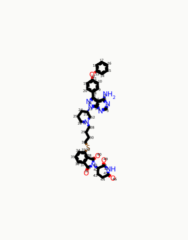 Nc1ncnc2c1c(-c1ccc(Oc3ccccc3)cc1)nn2[C@@H]1CCCN(CCCCSc2cccc3c2C(=O)N(C2CCC(=O)NC2=O)C3=O)C1